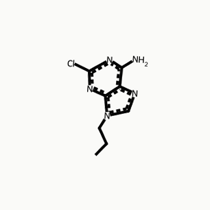 CCCn1cnc2c(N)nc(Cl)nc21